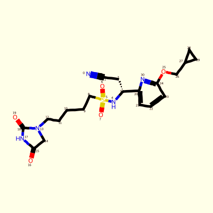 N#CC[C@@H](NS(=O)(=O)CCCCCN1CC(=O)NC1=O)c1cccc(OCC2CC2)n1